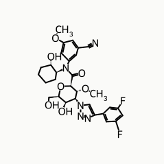 COc1cc(C#N)cc(N(C(=O)[C@@H]2O[C@H](CO)[C@H](O)[C@H](n3cc(-c4cc(F)cc(F)c4)nn3)[C@H]2OC)[C@H]2CCCC[C@@H]2O)c1